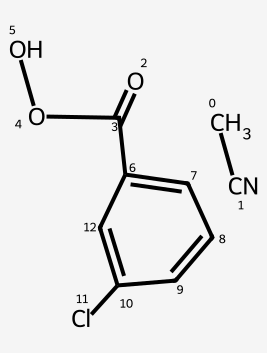 CC#N.O=C(OO)c1cccc(Cl)c1